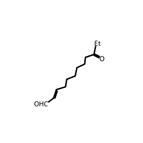 CCC(=O)CCCCCCC=CC=O